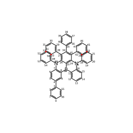 c1ccc(-c2ccc3c(c2)B2c4ccccc4N(c4ccccc4)c4c2c(c(-c2ccccc2)c(-c2ccccc2)c4-c2ccccc2)N3c2ccccc2)cc1